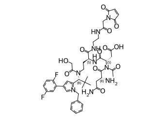 CC(=O)N(C(=O)[C@H](N)CC(N)=O)[C@@H](CC(=O)O)C(=O)N[C@@H](CCN(C(=O)CO)[C@@H](c1cc(-c2cc(F)ccc2F)cn1Cc1ccccc1)C(C)(C)C)C(=O)NCCNC(=O)CN1C(=O)C=CC1=O